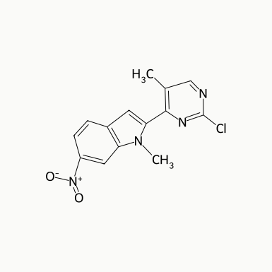 Cc1cnc(Cl)nc1-c1cc2ccc([N+](=O)[O-])cc2n1C